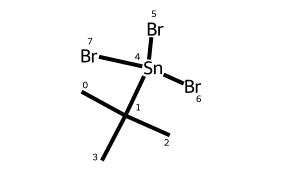 C[C](C)(C)[Sn]([Br])([Br])[Br]